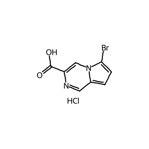 Cl.O=C(O)c1cn2c(Br)ccc2cn1